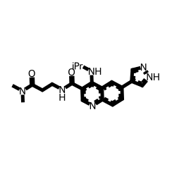 CC(C)Nc1c(C(=O)NCCC(=O)N(C)C)cnc2ccc(-c3cn[nH]c3)cc12